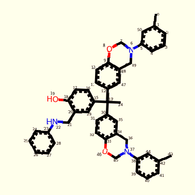 Cc1cccc(N2COc3ccc(C(C)(c4ccc(O)c(CNc5ccccc5)c4)c4ccc5c(c4)CN(c4cccc(C)c4)CO5)cc3C2)c1